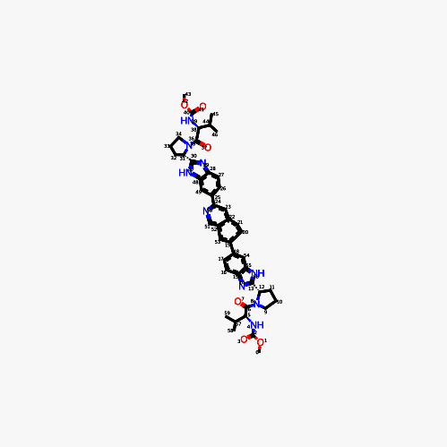 COC(=O)N[C@H](C(=O)N1CCC[C@H]1c1nc2ccc(-c3ccc4cc(-c5ccc6nc([C@@H]7CCCN7C(=O)[C@@H](NC(=O)OC)C(C)C)[nH]c6c5)ncc4c3)cc2[nH]1)C(C)C